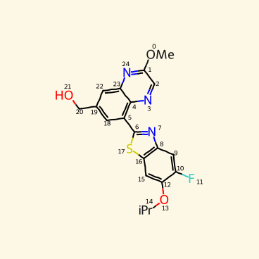 COc1cnc2c(-c3nc4cc(F)c(OC(C)C)cc4s3)cc(CO)cc2n1